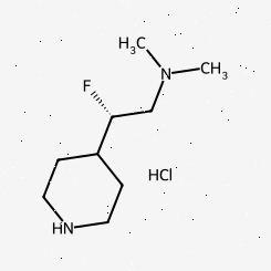 CN(C)C[C@@H](F)C1CCNCC1.Cl